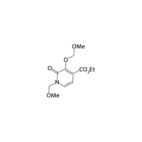 CCOC(=O)c1ccn(COC)c(=O)c1OCOC